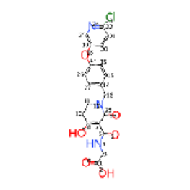 O=C(O)CNC(=O)C1=C(O)CCN(Cc2ccc(Oc3ccc(Cl)nc3)cc2)C1=O